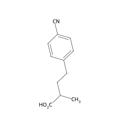 CC(C[CH]c1ccc(C#N)cc1)C(=O)O